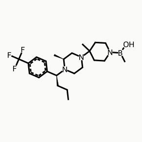 CCC[C@@H](c1ccc(C(F)(F)F)cc1)N1CCN(C2(C)CCN(B(C)O)CC2)C[C@@H]1C